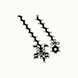 CCCCCCCCCCCCCCCCC(OCC)(OCC)C(OCC)(OCC)[N+](OCC)(OCC)OCC.CCCCCCCCCCCCOS(=O)(=O)c1ccccc1